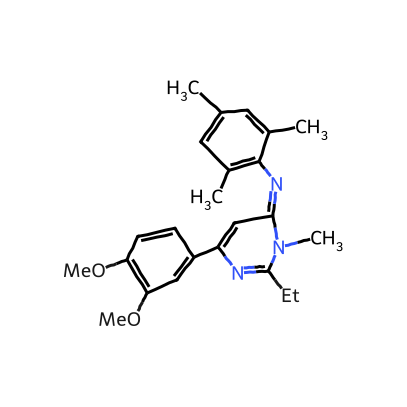 CCc1nc(-c2ccc(OC)c(OC)c2)cc(=Nc2c(C)cc(C)cc2C)n1C